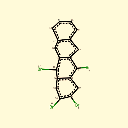 Brc1cc2c(Br)c3cc4ccccc4cc3c(Br)c2cc1Br